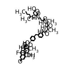 CCCCC(C)SC(CC(=O)O)C(=O)NCCC(=O)N[C@@H](C)C(=O)N[C@@H](C)C(=O)Nc1cccc(Cc2ccc([C@@H]3O[C@@H]4C[C@H]5[C@@H]6C[C@H](F)C7=CC(=O)C=C[C@]7(C)[C@@]6(F)[C@@H](O)C[C@]5(C)[C@]4(C(=O)O)O3)cc2)c1